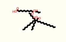 CCCC.CCCCCCCCCCCCC(C(=O)O)C(CCCCCC)(CCCCCC)CCCCCCCCC.O=C(O)CCCCCCCCC(=O)O